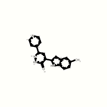 Cc1ccc2[nH]c(-c3cc(-c4ccncc4)n[nH]c3=O)cc2c1